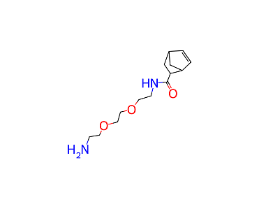 NCCOCCOCCNC(=O)C1CC2C=CC1C2